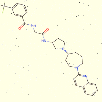 O=C(CNC(=O)c1cccc(C(F)(F)F)c1)N[C@@H]1CCN([C@H]2CCCN(c3ccc4ccccc4n3)CC2)C1